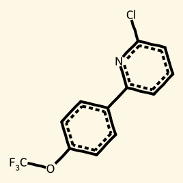 FC(F)(F)Oc1ccc(-c2cccc(Cl)n2)cc1